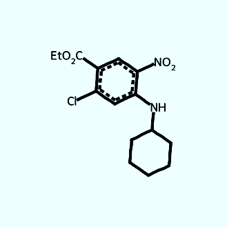 CCOC(=O)c1cc([N+](=O)[O-])c(NC2CCCCC2)cc1Cl